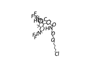 CC1(C)C2=CC(C)(N3CC(F)(F)C3)C=CC2=C(c2cc(C(=O)NCCOCCOCCCCCCCl)ccc2C(=O)O)c2ccc(N3CC(F)(F)C3)cc21